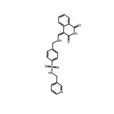 O=C1NC(=O)c2ccccc2/C1=C/NCc1ccc(S(=O)(=O)NCc2cccnc2)cc1